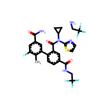 Cc1c(F)cc(C(N)=O)cc1-c1ccc(C(=O)NCC(F)(F)F)cc1C(=O)N(c1nccs1)C1CC1.NCC(F)(F)F